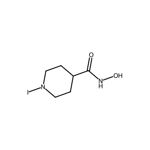 O=C(NO)C1CCN(I)CC1